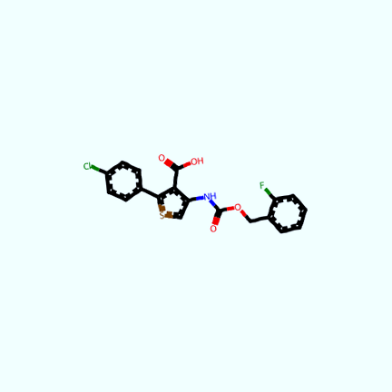 O=C(Nc1csc(-c2ccc(Cl)cc2)c1C(=O)O)OCc1ccccc1F